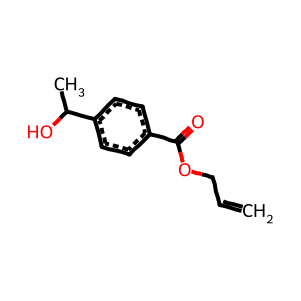 C=CCOC(=O)c1ccc(C(C)O)cc1